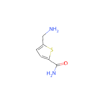 NCc1ccc(C(N)=O)s1